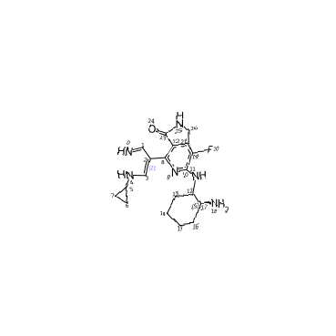 N=C/C(=C\NC1CC1)c1nc(NC2CCCC[C@@H]2N)c(F)c2c1C(=O)NC2